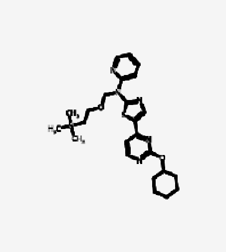 C[Si](C)(C)CCOCN(c1ccccn1)c1ncc(-c2ccnc(OC3CCCCC3)n2)s1